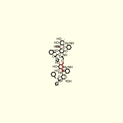 CC(=O)N[C@H]1CCC[C@@H](O[C@@H]2O[C@H](CO)[C@H](O)[C@H](O[C@@H](CC3CCCCC3)C(=O)N3CCC3)[C@H]2NC(=O)COCCOCC(=O)N[C@@H]2[C@@H](O[C@@H](CC3CCCCC3)C(=O)N3CCC3)[C@@H](O)[C@@H](CO)O[C@H]2C2CCC[C@H](NC(C)=O)[C@H]2O[C@@H]2O[C@@H](C)[C@@H](O)[C@@H](O)[C@@H]2O)[C@@H]1O[C@@H]1O[C@@H](C)[C@@H](O)[C@@H](O)[C@@H]1O